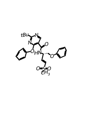 CC(C)(C)c1ncc(C(=O)N[C@@H](/C=C/S(C)(=O)=O)COc2ccccc2)c(Oc2ccccc2)n1